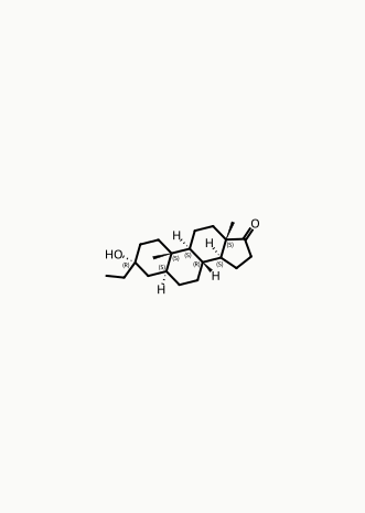 CC[C@@]1(O)CC[C@@]2(C)[C@@H](CC[C@@H]3[C@@H]2CC[C@]2(C)C(=O)CC[C@@H]32)C1